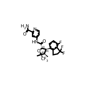 C[C@@H]1[C@H](c2ccc(F)c3c2CCC3(F)F)[C@@H](C(=O)Nc2ccnc(C(N)=O)c2)O[C@]1(C)C(F)(F)F